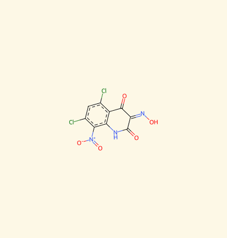 O=C1Nc2c(c(Cl)cc(Cl)c2[N+](=O)[O-])C(=O)C1=NO